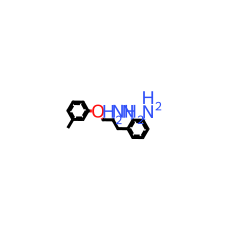 Cc1cccc(OC[C@@H](N)Cc2cccc(N)c2N)c1